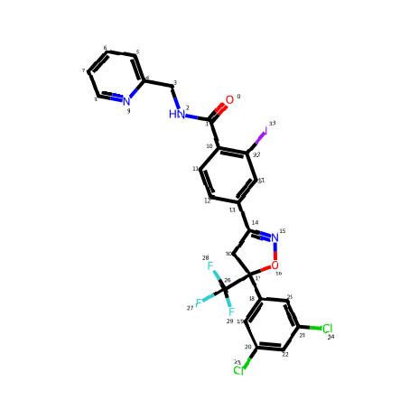 O=C(NCc1ccccn1)c1ccc(C2=NOC(c3cc(Cl)cc(Cl)c3)(C(F)(F)F)C2)cc1I